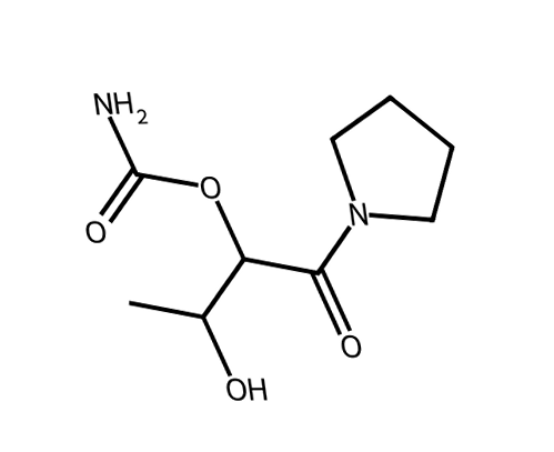 CC(O)C(OC(N)=O)C(=O)N1CCCC1